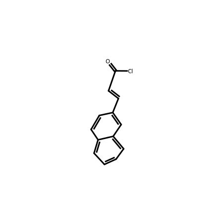 O=C(Cl)/C=C/c1ccc2ccccc2c1